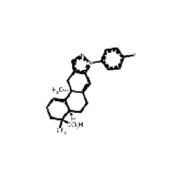 C[C@]12Cc3cnn(-c4ccc(F)cc4)c3C=C1CC[C@H]1C2=CCCC1(C(=O)O)C(F)(F)F